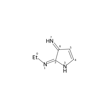 CC/N=C1/NC=CC1=N